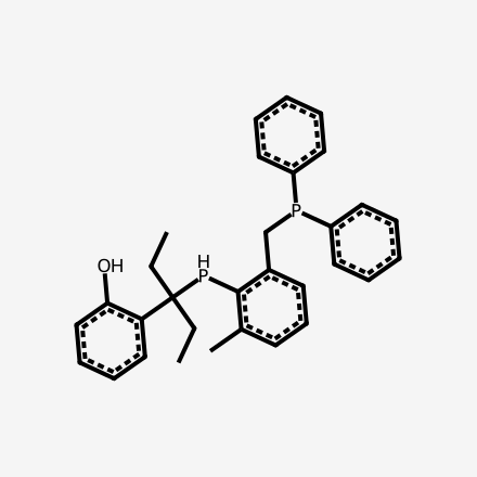 CCC(CC)(Pc1c(C)cccc1CP(c1ccccc1)c1ccccc1)c1ccccc1O